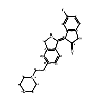 O=C1Nc2ccc(F)cc2/C1=C1\OCc2nc(CCN3CCOCC3)ccc21